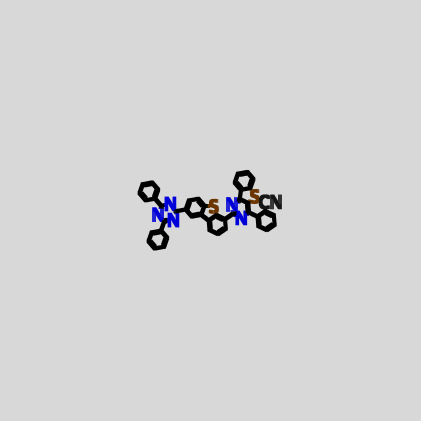 N#Cc1ccccc1-c1nc(-c2cccc3c2sc2ccc(-c4nc(-c5ccccc5)nc(-c5ccccc5)n4)cc23)nc2c1sc1ccccc12